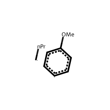 COc1cc[c]cc1.[CH2]CCC